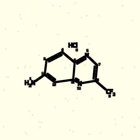 Cl.Nc1ccc2ncc(C(F)(F)F)nc2c1